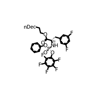 CCCCCCCCCCCCOC(=O)[C@H](Cc1cc(F)cc(F)c1)NP(=O)(Oc1ccccc1)Oc1c(F)c(F)c(F)c(F)c1F